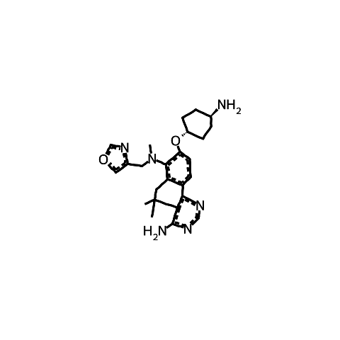 CN(Cc1cocn1)c1c(O[C@H]2CC[C@H](N)CC2)ccc2c1CC(C)(C)c1c(N)ncnc1-2